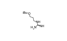 CCC(C)OCCCNC(=N)N